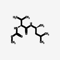 COC(=O)N[C@@H](C(=O)N[C@H](C)CC(C)C)C(C)C